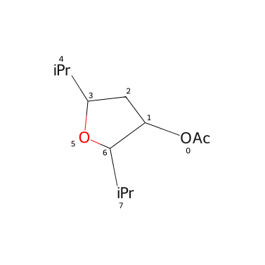 CC(=O)OC1CC(C(C)C)OC1C(C)C